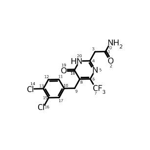 NC(=O)Cc1nc(C(F)(F)F)c(Cc2ccc(Cl)c(Cl)c2)c(=O)[nH]1